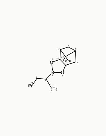 CC(C)CC(N)B1OC2CC3CC(C2O1)C3(C)C